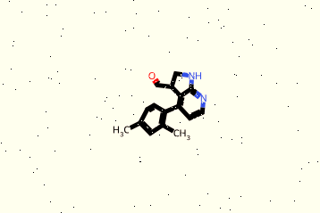 Cc1ccc(-c2ccnc3c2C(C=O)CN3)c(C)c1